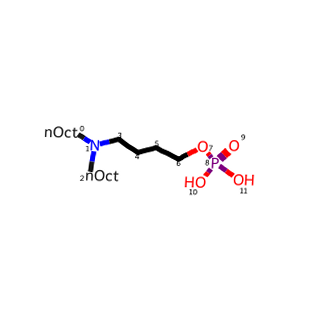 CCCCCCCCN(CCCCCCCC)CCCCOP(=O)(O)O